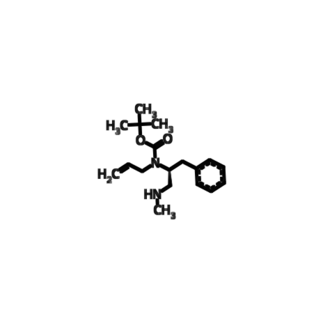 C=CCN(C(=O)OC(C)(C)C)[C@H](CNC)Cc1ccccc1